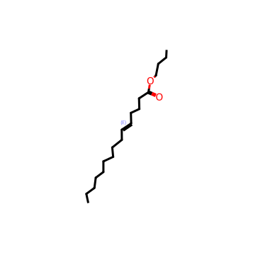 CCCCCCCCC/C=C/CCCC(=O)OCCCC